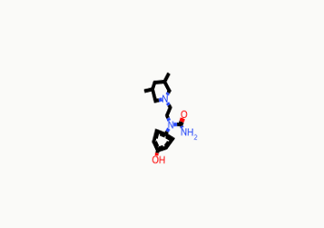 CC1CC(C)CN(CCN(C(N)=O)c2ccc(O)cc2)C1